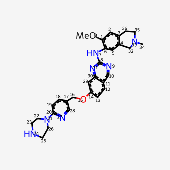 COc1cc2c(cc1Nc1ncc3ccc(OCc4ccc(N5CCNCC5)nc4)cc3n1)CN(C)CC2